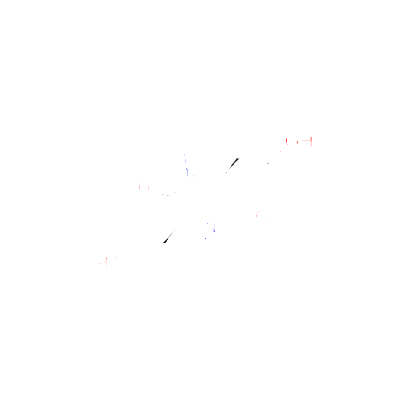 O=C1N[C@@H](CCO)C(=O)N[C@H]1CCO